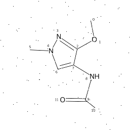 COc1nn(C)cc1NC(C)=O